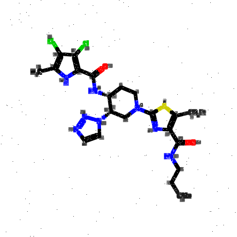 CCOC(=O)c1sc(N2CC[C@@H](NC(=O)c3[nH]c(C)c(Cl)c3Cl)[C@@H](n3ccnn3)C2)nc1C(=O)NCCOC